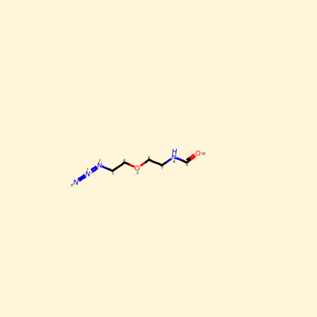 [N-]=[N+]=NCCOCCNC=O